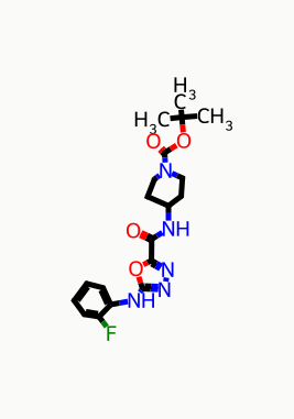 CC(C)(C)OC(=O)N1CCC(NC(=O)c2nnc(Nc3ccccc3F)o2)CC1